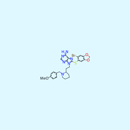 COc1ccc(CN2CCCCC2CCn2c(Sc3cc4c(cc3Br)OCO4)nc3c(N)ncnc32)cc1